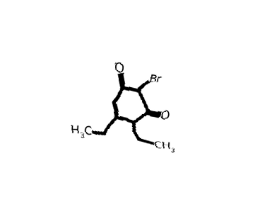 CCC1CC(=O)C(Br)C(=O)C1CC